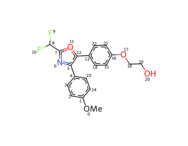 COc1ccc(-c2nc(C(F)F)oc2-c2ccc(OCCO)cc2)cc1